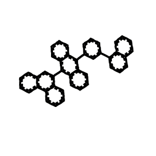 c1cc(-c2cccc3ccccc23)cc(-c2c3ccccc3c(-c3cc4ccccc4c4ccccc34)c3ccccc23)c1